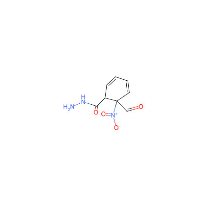 NNC(=O)C1C=CC=CC1(C=O)[N+](=O)[O-]